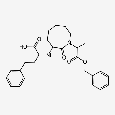 CC(C(=O)OCc1ccccc1)N1CCCCCC(NC(CCc2ccccc2)C(=O)O)C1=O